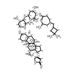 CC1CN(CC2CC(C)(C)C2)CCC(O[C@H]2[C@@H](O)C[C@H](O[C@@H]3[C@@H](O)C[C@@H](O[C@H]4CC[C@@]5(C)[C@H](CC[C@@H]6[C@@H]5C[C@@H](O)[C@]5(C)[C@@H](C7=CC(=O)OC7)CC[C@]65O)C4)O[C@@H]3C)O[C@@H]2C)O1